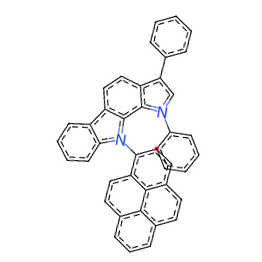 c1ccc(-c2cn(-c3ccccc3)c3c2ccc2c4ccccc4n(-c4ccc5ccc6cccc7ccc4c5c67)c23)cc1